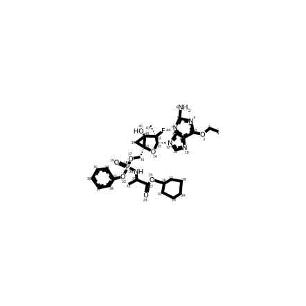 CCOc1nc(N)nc2c1ncn2[C@@H]1O[C@@]2(COP(=O)(NC(C)C(=O)OC3CCCCC3)Oc3ccccc3)C[C@]2(O)[C@@]1(C)F